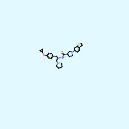 O=C(NC(Cc1ccc(OC2CC2)cc1)CN1CCCC1)[C@@H]1CCN(c2ccc3ccsc3c2)C1